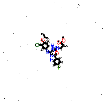 COC(=O)[C@@H](C)CNC(=O)N/C(=N\c1ccc(OC(C)C)c(Cl)c1)NCc1ccc(F)cc1